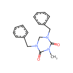 CN1C(=O)N(Cc2ccccc2)CN(Cc2ccccc2)C1=O